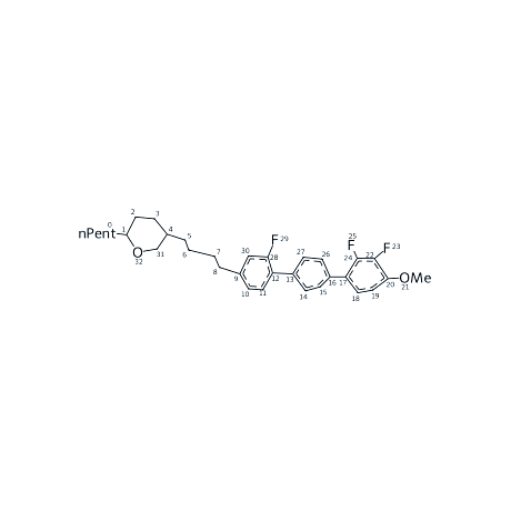 CCCCCC1CCC(CCCCc2ccc(-c3ccc(-c4ccc(OC)c(F)c4F)cc3)c(F)c2)CO1